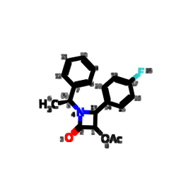 CC(=O)OC1C(=O)N([C@@H](C)c2ccccc2)C1c1ccc(F)cc1